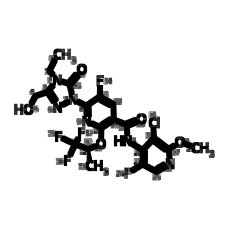 CCn1c(CO)nn(-c2nc(O[C@@H](C)C(F)(F)F)c(C(=O)Nc3c(F)cnc(OC)c3Cl)cc2F)c1=O